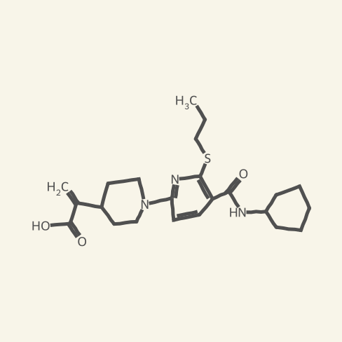 C=C(C(=O)O)C1CCN(c2ccc(C(=O)NC3CCCCC3)c(SCCC)n2)CC1